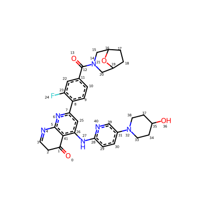 O=C1CC=Nc2nc(-c3ccc(C(=O)N4CC5CCC(C4)O5)cc3F)cc(Nc3ccc(N4CCC(O)CC4)cn3)c21